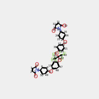 O=C1C=CC(=O)N1c1ccc(Oc2ccc(OC(Oc3ccc(Oc4ccc(N5C(=O)C=CC5=O)cc4)cc3)(C(F)(F)F)C(F)(F)F)cc2)cc1